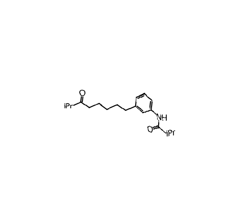 CC(C)C(=O)CCCCCc1cccc(NC(=O)C(C)C)c1